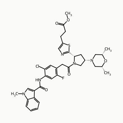 COC(=O)CCc1cnc([C@@H]2C[C@H](N3C[C@@H](C)O[C@@H](C)C3)CN2C(=O)Cc2cc(Cl)c(NC(=O)c3cn(C)c4ccccc34)cc2F)s1